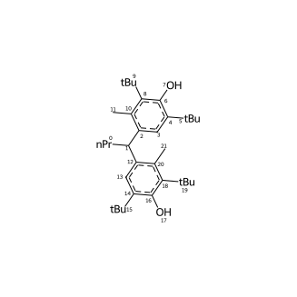 CCCC(c1cc(C(C)(C)C)c(O)c(C(C)(C)C)c1C)c1cc(C(C)(C)C)c(O)c(C(C)(C)C)c1C